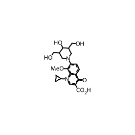 COc1c(N2CC(CO)C(O)C(CO)C2)ccc2c(=O)c(C(=O)O)cn(C3CC3)c12